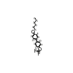 CCCCCCOc1ccc(-c2ccc(OC(F)F)cc2)cc1